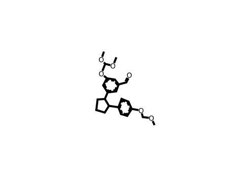 COCOc1ccc(C2CCCC2c2cc(C=O)cc(OC(OC)OC)c2)cc1